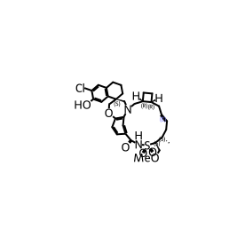 COC[C@@H]1[C@@H](C)C/C=C/C[C@H]2CC[C@H]2CN2C[C@@]3(CCCc4cc(Cl)c(O)cc43)COc3ccc(cc32)C(=O)NS1(=O)=O